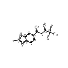 Cn1nc2ccc(C(=O)CC(=O)C(F)(F)F)cc2n1